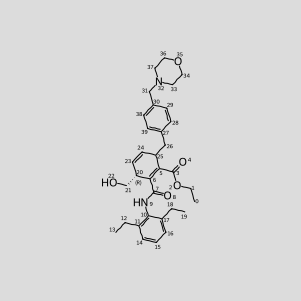 CCOC(=O)C1=C(C(=O)Nc2c(CC)cccc2CC)[C@H](CO)C=CC1Cc1ccc(CN2CCOCC2)cc1